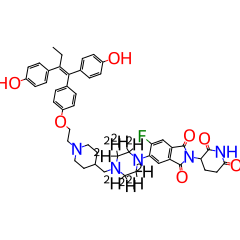 [2H]C1([2H])N(CC2CCN(CCOc3ccc(C(=C(CC)c4ccc(O)cc4)c4ccc(O)cc4)cc3)CC2)C([2H])([2H])C([2H])([2H])N(c2cc3c(cc2F)C(=O)N(C2CCC(=O)NC2=O)C3=O)C1([2H])[2H]